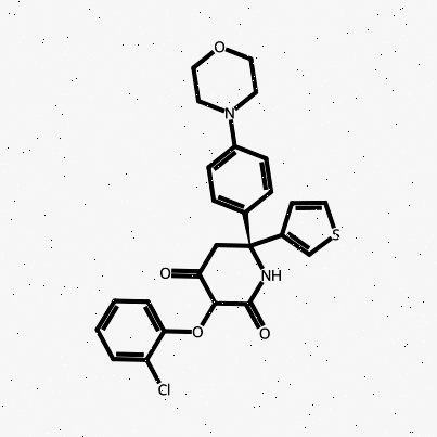 O=C1C[C@](c2ccc(N3CCOCC3)cc2)(c2ccsc2)NC(=O)C1Oc1ccccc1Cl